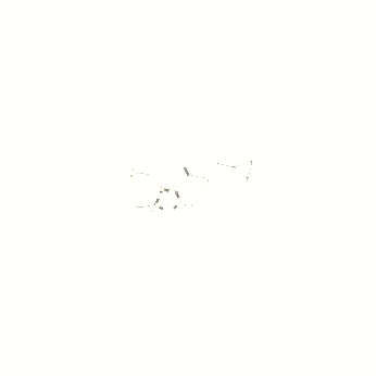 O=C(NCC1CC1)c1noc2c1CNCC2